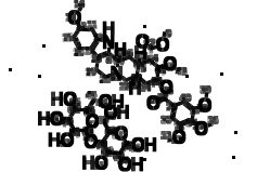 COC(=O)[C@H]1[C@H]2C[C@@H]3c4[nH]c5cc(OC)ccc5c4CCN3C[C@H]2C[C@@H](OC(=O)c2cc(OC)c(OC)c(OC)c2)[C@@H]1OC.OC[C@H]1O[C@@H](O[C@H]2[C@H](O)[C@@H](O)[C@H](O)O[C@@H]2CO)[C@H](O)[C@@H](O)[C@H]1O